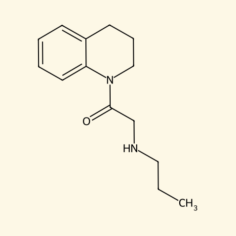 CCCNCC(=O)N1CCCc2ccccc21